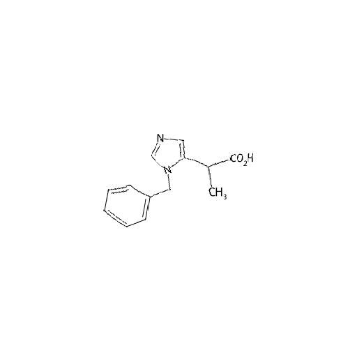 CC(C(=O)O)c1cncn1Cc1ccccc1